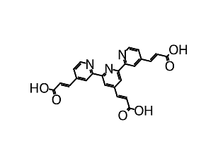 O=C(O)/C=C/c1ccnc(-c2cc(/C=C/C(=O)O)cc(-c3cc(/C=C/C(=O)O)ccn3)n2)c1